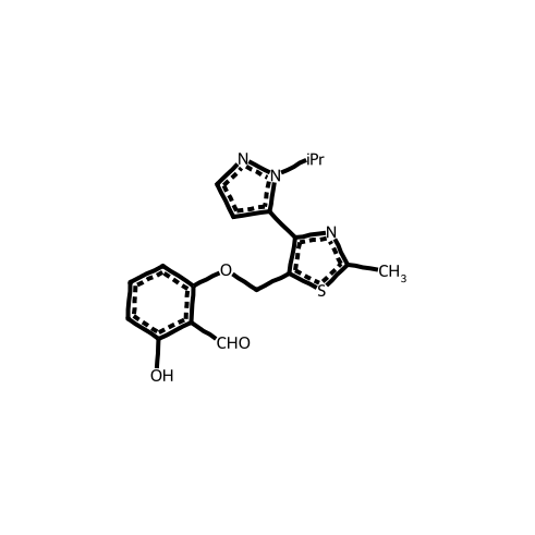 Cc1nc(-c2ccnn2C(C)C)c(COc2cccc(O)c2C=O)s1